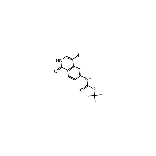 CC(C)(C)OC(=O)Nc1ccc2c(=O)[nH]cc(I)c2c1